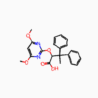 COc1cc(OC)nc(OC(C(=O)O)C(C)(c2ccccc2)c2ccccc2)n1